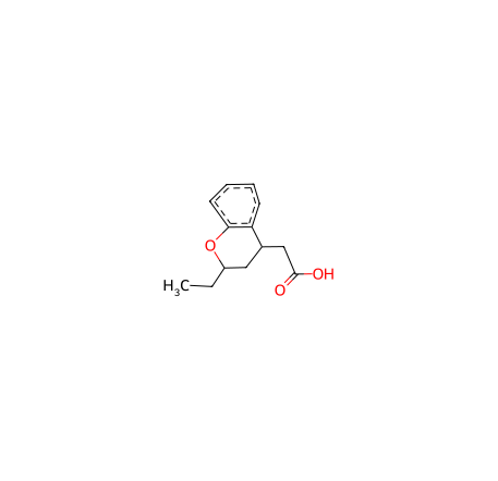 CCC1CC(CC(=O)O)c2ccccc2O1